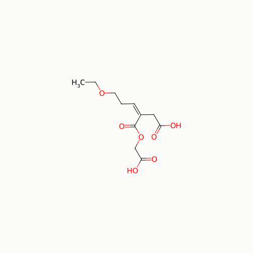 CCOCCC=C(CC(=O)O)C(=O)OCC(=O)O